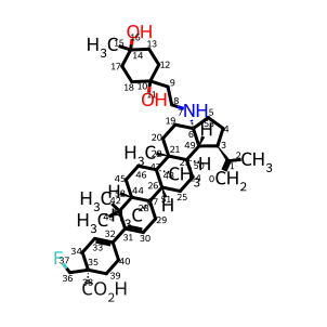 C=C(C)[C@@H]1CC[C@]2(NCCC3(O)CCC(C)(O)CC3)CC[C@]3(C)[C@H](CC[C@@H]4[C@@]5(C)CC=C(C6=CC[C@@](CF)(C(=O)O)CC6)C(C)(C)[C@@H]5CC[C@]43C)[C@@H]12